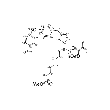 C=C(C)C(=O)OC(CCCCCCCC)C(CCCCCCCC(=O)OC)N1C=CN(Cc2ccccc2)C1.C=Cc1ccc(S(=O)(=O)O)cc1